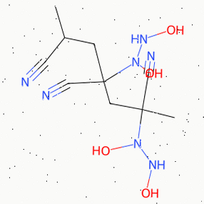 CC(C#N)CC(C#N)(CC(C)(C#N)N(O)NO)N(O)NO